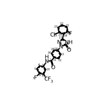 O=C(Nc1ccc(F)c(C(F)(F)F)c1)c1ccc(-n2nc(-c3c(F)cccc3Cl)[nH]c2=O)cc1